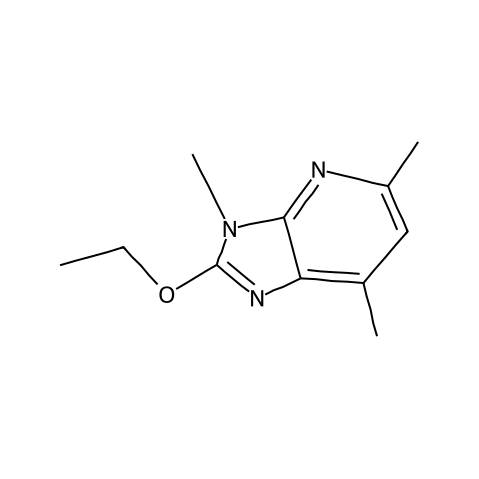 CCOc1nc2c(C)cc(C)nc2n1C